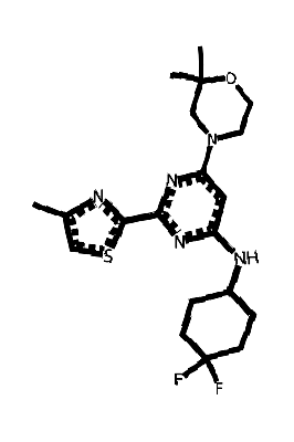 Cc1csc(-c2nc(NC3CCC(F)(F)CC3)cc(N3CCOC(C)(C)C3)n2)n1